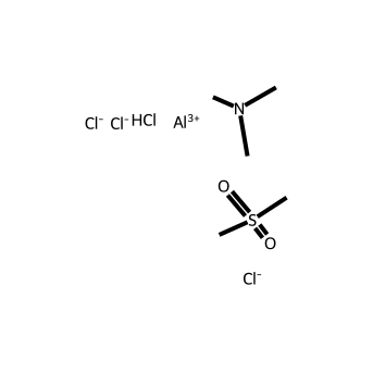 CN(C)C.CS(C)(=O)=O.Cl.[Al+3].[Cl-].[Cl-].[Cl-]